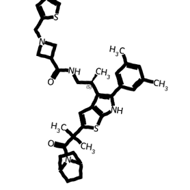 Cc1cc(C)cc(-c2[nH]c3sc(C(C)(C)C(=O)N4C5CCC4CC5)cc3c2[C@H](C)CNC(=O)C2CN(Cc3cccs3)C2)c1